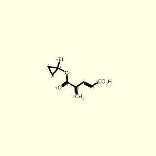 C=C(C=CC(=O)O)C(=O)OC1(CC)CC1